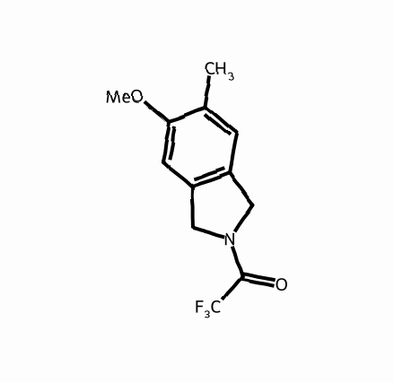 COc1cc2c(cc1C)CN(C(=O)C(F)(F)F)C2